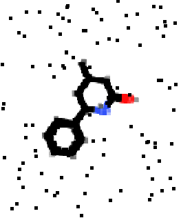 CC1CC(=O)NC(c2ccccc2)C1